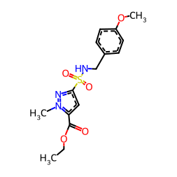 CCOC(=O)c1cc(S(=O)(=O)NCc2ccc(OC)cc2)nn1C